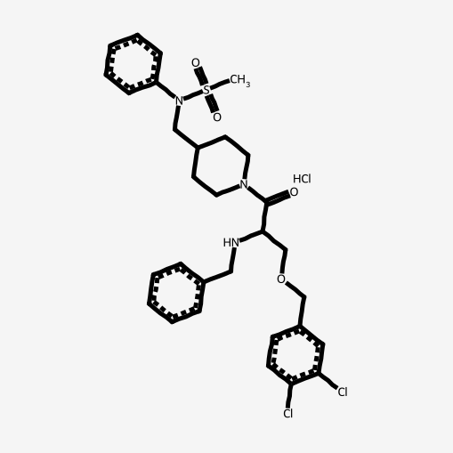 CS(=O)(=O)N(CC1CCN(C(=O)C(COCc2ccc(Cl)c(Cl)c2)NCc2ccccc2)CC1)c1ccccc1.Cl